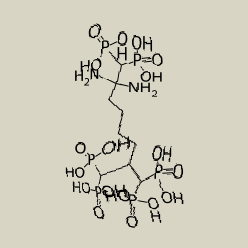 NC(N)(CCCCC(C(P(=O)(O)O)P(=O)(O)O)C(P(=O)(O)O)P(=O)(O)O)C(P(=O)(O)O)P(=O)(O)O